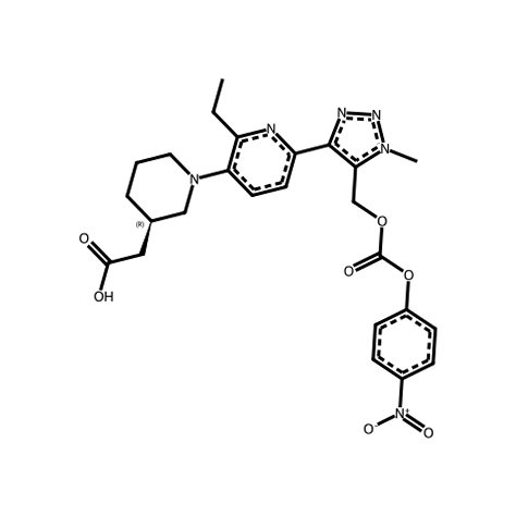 CCc1nc(-c2nnn(C)c2COC(=O)Oc2ccc([N+](=O)[O-])cc2)ccc1N1CCC[C@H](CC(=O)O)C1